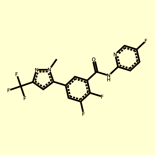 Cn1nc(C(F)(F)F)cc1-c1cc(F)c(F)c(C(=O)Nc2ccc(F)cn2)c1